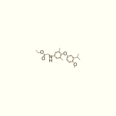 CCOC(=O)CNc1cc(C)c(Oc2ccc(OC)c(C(C)C)c2)c(C)c1